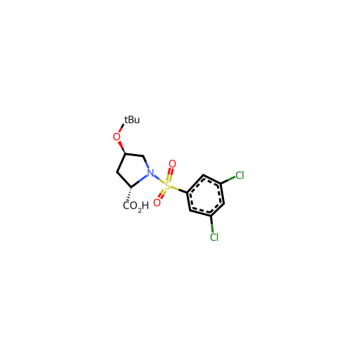 CC(C)(C)O[C@@H]1C[C@@H](C(=O)O)N(S(=O)(=O)c2cc(Cl)cc(Cl)c2)C1